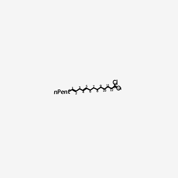 CCCCC/C=C/C/C=C/CCCCCCCC(=O)Cl